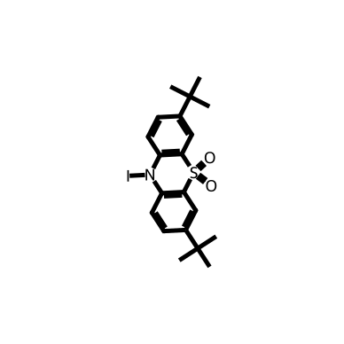 CC(C)(C)c1ccc2c(c1)S(=O)(=O)c1cc(C(C)(C)C)ccc1N2I